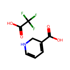 O=C(O)C(F)(F)F.O=C(O)C1=CC=CNC1